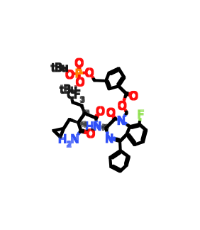 CC(C)(C)OP(=O)(OCc1cccc(C(=O)OCN2C(=O)[C@@H](NC(=O)[C@H](CCC(F)(F)F)[C@H](CC3CC3)C(N)=O)N=C(c3ccccc3)c3cccc(F)c32)c1)OC(C)(C)C